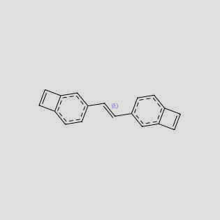 C1=Cc2cc(/C=C/c3ccc4c(c3)C=C4)ccc21